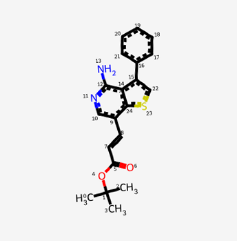 CC(C)(C)OC(=O)/C=C/c1cnc(N)c2c(-c3ccccc3)csc12